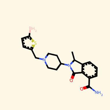 Bc1ccc(CN2CCC(N3C(=O)c4c(C(N)=O)cccc4C3C)CC2)s1